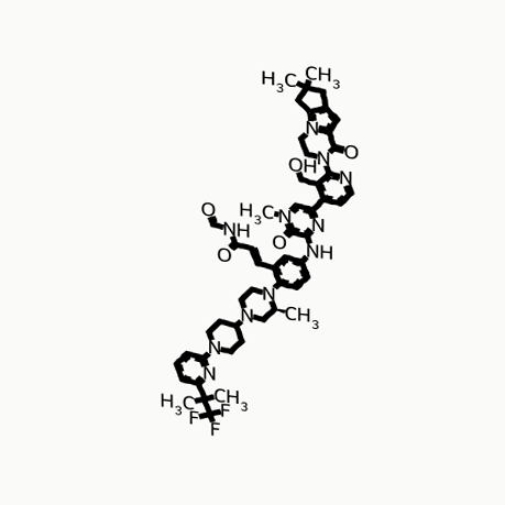 C[C@H]1CN(C2CCN(c3cccc(C(C)(C)C(F)(F)F)n3)CC2)CCN1c1ccc(Nc2nc(-c3ccnc(N4CCn5c(cc6c5CC(C)(C)C6)C4=O)c3CO)cn(C)c2=O)cc1C=CC(=O)NC=O